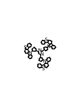 c1cc(-c2cc(-c3cccc(-n4c5ccccc5c5ccc6sc7ccccc7c6c54)c3)nc(-c3ccc(-n4c5ccccc5c5ccc6sc7ccccc7c6c54)cc3)n2)cc(-n2c3ccccc3c3ccc4sc5ccccc5c4c32)c1